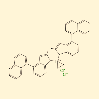 CC1=Cc2c(-c3cccc4ccccc34)cccc2[CH]1[Ti+2]1([CH]2C(C)=Cc3c(-c4cccc5ccccc45)cccc32)[CH2][CH2]1.[Cl-].[Cl-]